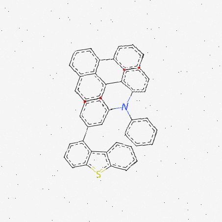 c1ccc(-c2cccc3cccc(-c4ccccc4N(c4ccccc4)c4cccc(-c5cccc6sc7ccccc7c56)c4)c23)cc1